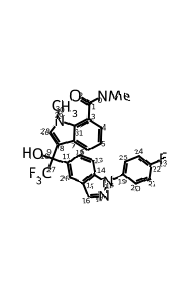 CNC(=O)c1cccc2c(C(O)(c3ccc4c(cnn4-c4ccc(F)cc4)c3)C(F)(F)F)cn(C)c12